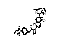 CCS(=O)(=O)c1ccc(CC(=O)Nc2ccc3c(n2)CCC(C)(c2nc(C)cn4ccnc24)C3=O)cc1